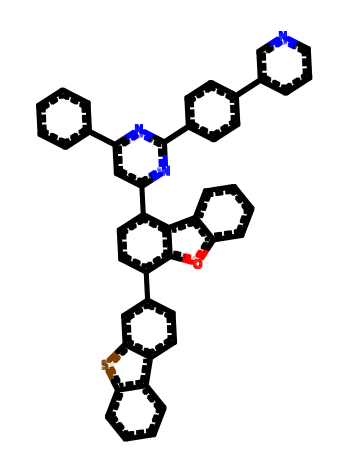 c1ccc(-c2cc(-c3ccc(-c4ccc5c(c4)sc4ccccc45)c4oc5ccccc5c34)nc(-c3ccc(-c4cccnc4)cc3)n2)cc1